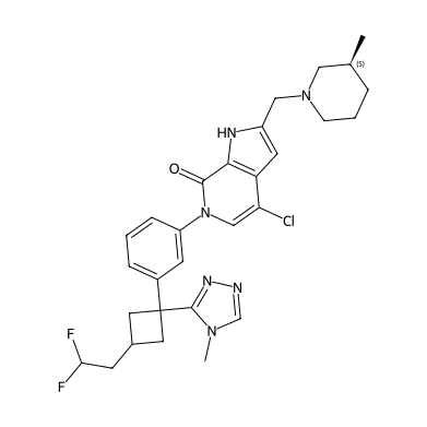 C[C@H]1CCCN(Cc2cc3c(Cl)cn(-c4cccc(C5(c6nncn6C)CC(CC(F)F)C5)c4)c(=O)c3[nH]2)C1